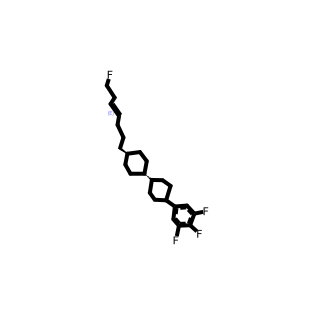 FCC/C=C/CCC[C@H]1CC[C@H](C2CCC(c3cc(F)c(F)c(F)c3)CC2)CC1